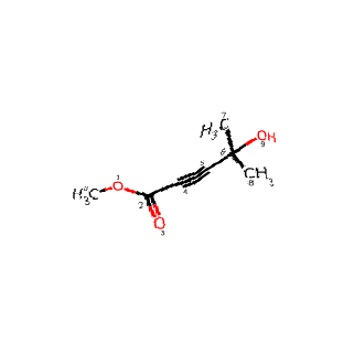 COC(=O)C#CC(C)(C)O